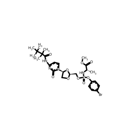 COC(=O)[C@H](C)NP(=O)(OC[C@H]1OC[C@@H](n2ccc(NC(=O)C(C)(C)C(C)(C)C)nc2=O)O1)Oc1ccc(Br)cc1